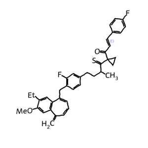 C=C1C=CC=C(Cc2ccc(CCC(C)C(=S)C3(C(=O)/C=C/c4ccc(F)cc4)CC3)cc2F)c2cc(CC)c(OC)cc21